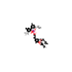 Cc1cc(C(C)(C)C)c2op(OCCCc3cc(C)c(OC(=O)C(C)(CC(C)(C)C)C(C)(C)C)c(C(C)(C)C)c3)oc3c(C(C)(C)C)cc(C)cc3c2c1